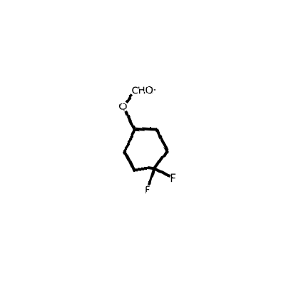 O=[C]OC1CCC(F)(F)CC1